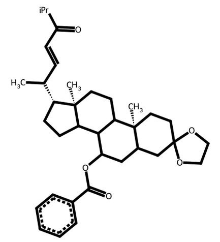 CC(C)C(=O)/C=C/C(C)[C@H]1CCC2C3C(OC(=O)c4ccccc4)CC4CC5(CC[C@]4(C)C3CC[C@@]21C)OCCO5